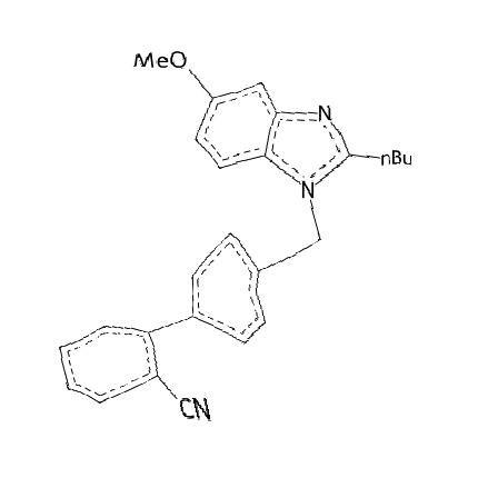 CCCCc1nc2cc(OC)ccc2n1Cc1ccc(-c2ccccc2C#N)cc1